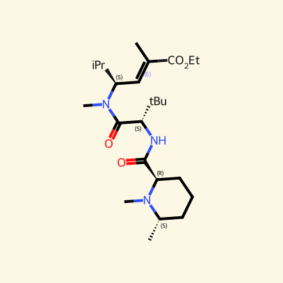 CCOC(=O)/C(C)=C/[C@H](C(C)C)N(C)C(=O)[C@@H](NC(=O)[C@H]1CCC[C@H](C)N1C)C(C)(C)C